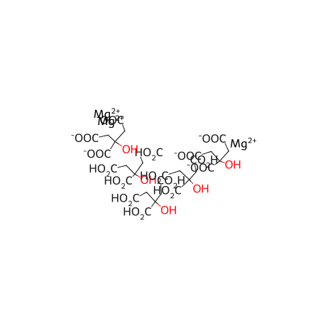 O=C(O)CC(O)(CC(=O)O)C(=O)O.O=C(O)CC(O)(CC(=O)O)C(=O)O.O=C(O)CC(O)(CC(=O)O)C(=O)O.O=C([O-])CC(O)(CC(=O)[O-])C(=O)[O-].O=C([O-])CC(O)(CC(=O)[O-])C(=O)[O-].[Mg+2].[Mg+2].[Mg+2]